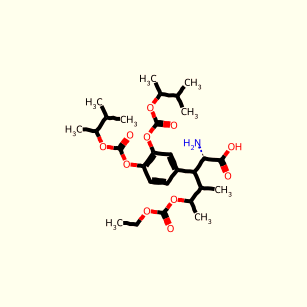 CCOC(=O)OC(C)C(C)C(c1ccc(OC(=O)OC(C)C(C)C)c(OC(=O)OC(C)C(C)C)c1)[C@H](N)C(=O)O